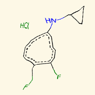 Cl.Fc1ccc(NC2CC2)cc1F